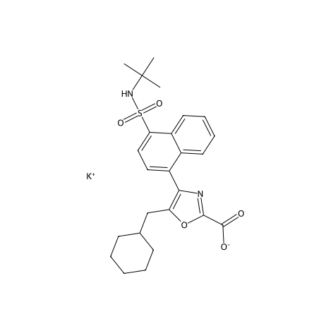 CC(C)(C)NS(=O)(=O)c1ccc(-c2nc(C(=O)[O-])oc2CC2CCCCC2)c2ccccc12.[K+]